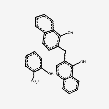 O=C(O)c1ccccc1O.Oc1c(Cc2ccc3ccccc3c2O)ccc2ccccc12